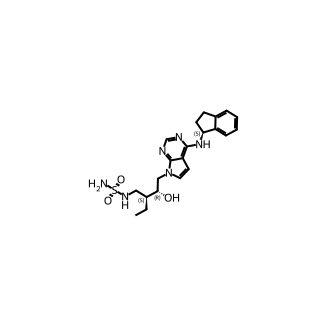 CC[C@@H](CNS(N)(=O)=O)[C@@H](O)Cn1ccc2c(N[C@H]3CCc4ccccc43)ncnc21